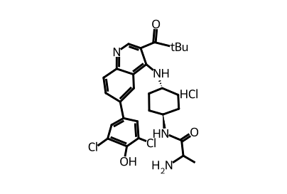 CC(N)C(=O)N[C@H]1CC[C@H](Nc2c(C(=O)C(C)(C)C)cnc3ccc(-c4cc(Cl)c(O)c(Cl)c4)cc23)CC1.Cl